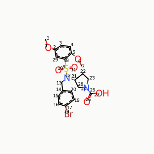 COc1ccc(OC)c(S(=O)(=O)N(Cc2ccc(Br)cc2)[C@@H]2CCN(C(=O)O)C2)c1